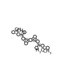 CC1(C)c2ccccc2-c2ccc(N(c3ccccc3)c3ccc4c5cccc6c7cc8c(cc7n(c4c3)c56)c3cccc4c5ccc(N(c6ccccc6)c6ccc7c(c6)C(C)(C)c6ccccc6-7)cc5n8c43)cc21